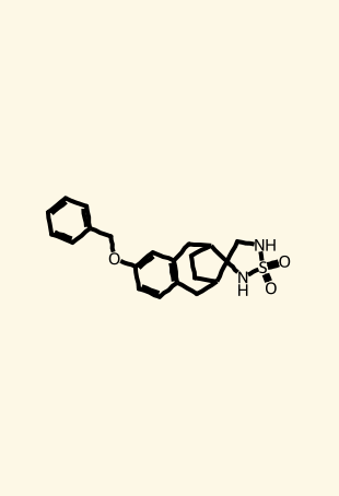 O=S1(=O)NCC2(N1)C1CCC2Cc2cc(OCc3ccccc3)ccc2C1